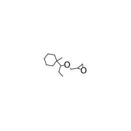 CCC(OCC1CO1)C1(C)CCCCC1